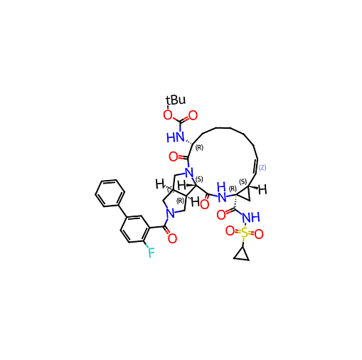 CC(C)(C)OC(=O)N[C@@H]1CCCCC/C=C\[C@@H]2C[C@@]2(C(=O)NS(=O)(=O)C2CC2)NC(=O)[C@@H]2[C@H]3CN(C(=O)c4cc(-c5ccccc5)ccc4F)C[C@H]3CN2C1=O